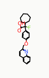 O=C(O)C(F)(c1ccc(OCc2ccc3ccccc3n2)cc1)C1CCCCCC1